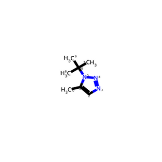 Cc1cnnn1C(C)(C)C